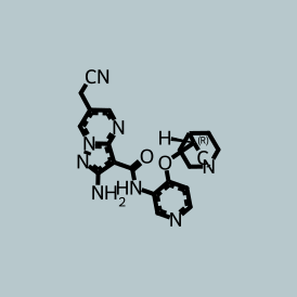 N#CCc1cnc2c(C(=O)Nc3cnccc3O[C@H]3CN4CCC3CC4)c(N)nn2c1